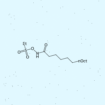 CCCCCCCCCCCCCC(=O)NOS(=O)(=O)CC